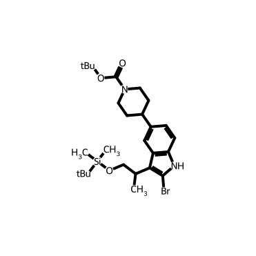 CC(CO[Si](C)(C)C(C)(C)C)c1c(Br)[nH]c2ccc(C3CCN(C(=O)OC(C)(C)C)CC3)cc12